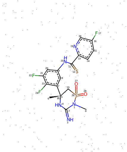 CN1C(=N)N[C@](C)(c2cc(NC(=S)c3ccc(F)cn3)cc(F)c2F)CS1(=O)=O